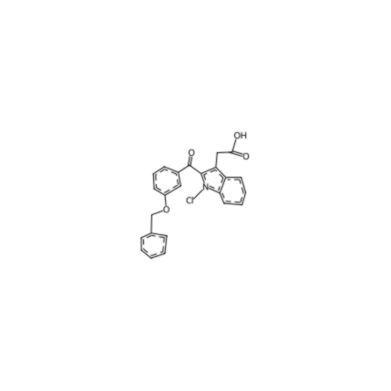 O=C(O)Cc1c(C(=O)c2cccc(OCc3ccccc3)c2)n(Cl)c2ccccc12